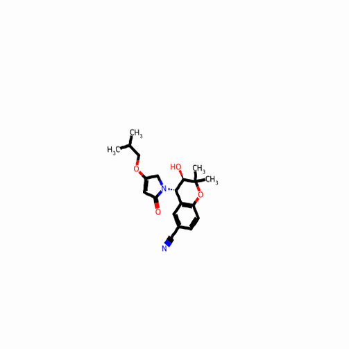 CC(C)COC1=CC(=O)N([C@H]2c3cc(C#N)ccc3OC(C)(C)[C@@H]2O)C1